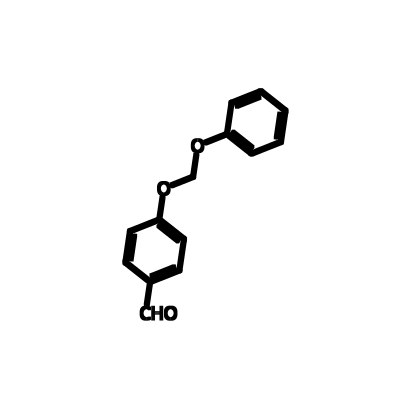 O=Cc1ccc(OCOc2ccccc2)cc1